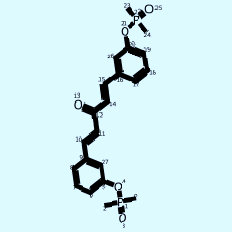 CP(C)(=O)Oc1cccc(/C=C/C(=O)/C=C/c2cccc(OP(C)(C)=O)c2)c1